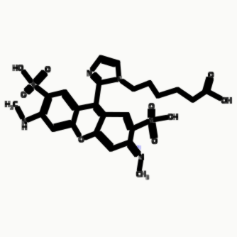 C/N=c1\cc2oc3cc(NC)c(S(=O)(=O)O)cc3c(-c3nccn3CCCCCC(=O)O)c-2cc1S(=O)(=O)O